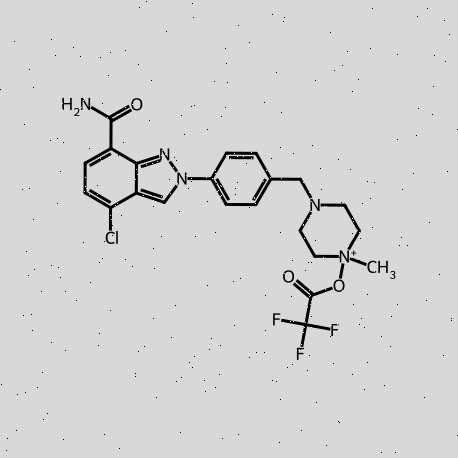 C[N+]1(OC(=O)C(F)(F)F)CCN(Cc2ccc(-n3cc4c(Cl)ccc(C(N)=O)c4n3)cc2)CC1